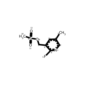 Cc1cnc(F)c(COS(C)(=O)=O)c1